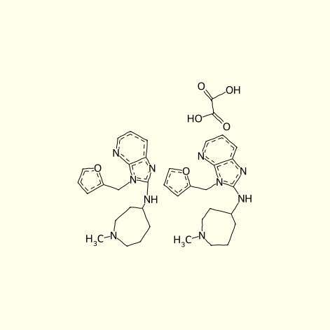 CN1CCCC(Nc2nc3cccnc3n2Cc2ccco2)CC1.CN1CCCC(Nc2nc3cccnc3n2Cc2ccco2)CC1.O=C(O)C(=O)O